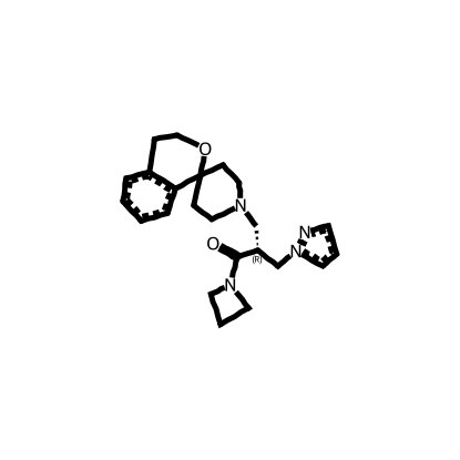 O=C([C@H](CN1CCC2(CC1)OCCc1ccccc12)Cn1cccn1)N1CCC1